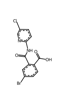 O=C(O)c1ccc(Br)cc1C(=O)Nc1ccc(Cl)cn1